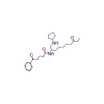 CCC(=O)CCCCCC(CNC1CCCC1)NC(=O)CCCC(=O)c1ccccc1